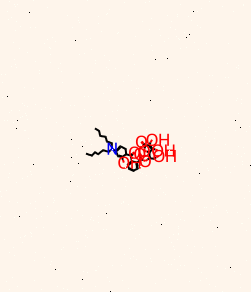 CCCCCCN(CCCCCC)C1=CCC(C(=O)c2ccccc2C(=O)OC(CO)C2OC(=O)C(O)=C2O)C(O)=C1